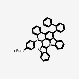 CCCCCc1ccc(N2B3c4oc5ccccc5c4-n4c5ccccc5c5c(-c6ccccc6-c6ccccc6)cc(c3c54)-c3ccccc32)cc1